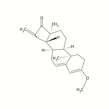 C=C1C[C@H]2[C@@H]3CC=C4C=C(OC)CC[C@]4(C)[C@@H]3CC[C@]2(C)C1=O